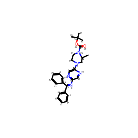 CC1CN(c2cnc(N=C(c3ccccc3)c3ccccc3)cn2)CCN1C(=O)OC(C)(C)C